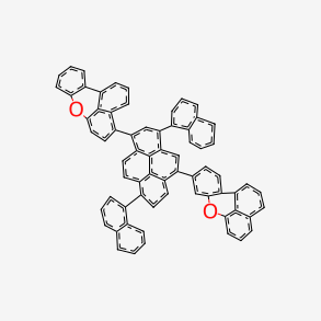 c1ccc2c(c1)Oc1ccc(-c3cc(-c4cccc5ccccc45)c4cc(-c5ccc6c(c5)Oc5cccc7cccc-6c57)c5ccc(-c6cccc7ccccc67)c6ccc3c4c56)c3cccc-2c13